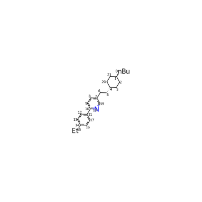 CCCC[C@H]1CC[C@H](CCc2ccc(-c3ccc(CC)cc3)nc2)CC1